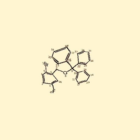 Fc1ccc(Br)c(COC(c2ccccc2)(c2ccccc2)c2ccccc2)c1